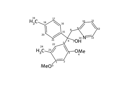 COc1cc(OC)c(C(O)(Cc2ccccn2)c2ccc(C)cc2)cc1C